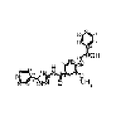 COc1cc(C(=O)Nc2nnc(-c3ccncc3)s2)cnc1OC[C@H](O)c1ccccc1